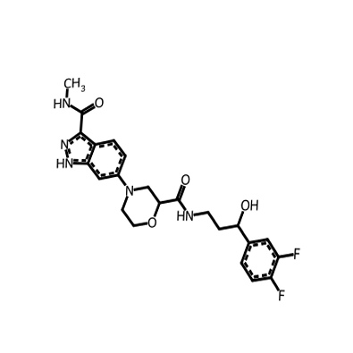 CNC(=O)c1n[nH]c2cc(N3CCOC(C(=O)NCCC(O)c4ccc(F)c(F)c4)C3)ccc12